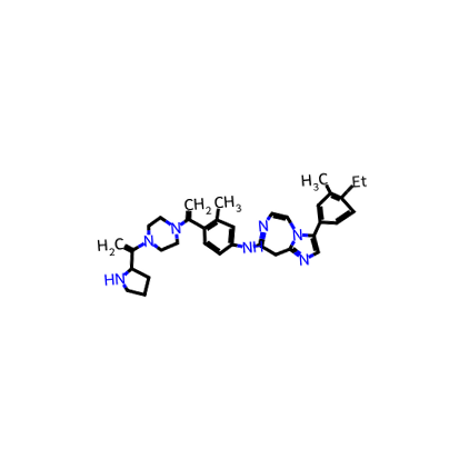 C=C(c1ccc(NC2=NC=Cn3c(-c4ccc(CC)c(C)c4)cnc3C2)cc1C)N1CCN(C(=C)C2CCCN2)CC1